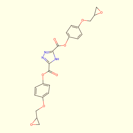 O=C(Oc1ccc(OCC2CO2)cc1)c1nnc(C(=O)Oc2ccc(OCC3CO3)cc2)[nH]1